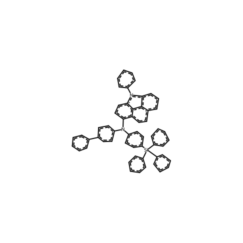 c1ccc(-c2ccc(N(c3ccc([Si](c4ccccc4)(c4ccccc4)c4ccccc4)cc3)c3ccc4c5c3ccc3cccc(c35)n4-c3ccccc3)cc2)cc1